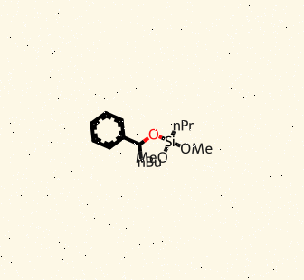 CCCCC(O[Si](CCC)(OC)OC)c1ccccc1